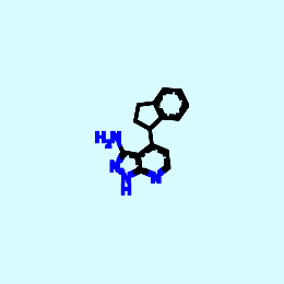 Nc1n[nH]c2nccc(C3CCc4ccccc43)c12